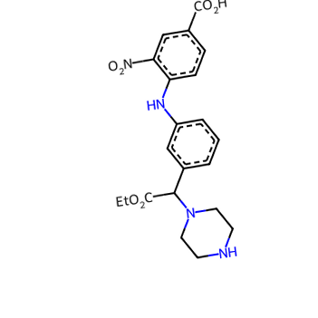 CCOC(=O)C(c1cccc(Nc2ccc(C(=O)O)cc2[N+](=O)[O-])c1)N1CCNCC1